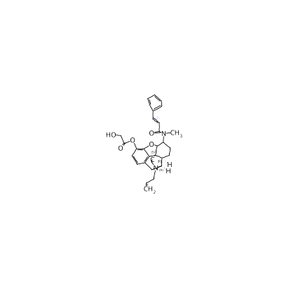 C=CCN1CC[C@]23c4c5ccc(OC(=O)CO)c4OC2C(N(C)C(=O)/C=C/c2ccccc2)CC[C@H]3[C@H]1C5